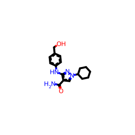 NC(=O)c1cn(C2CCCCC2)nc1Nc1ccc(CO)cc1